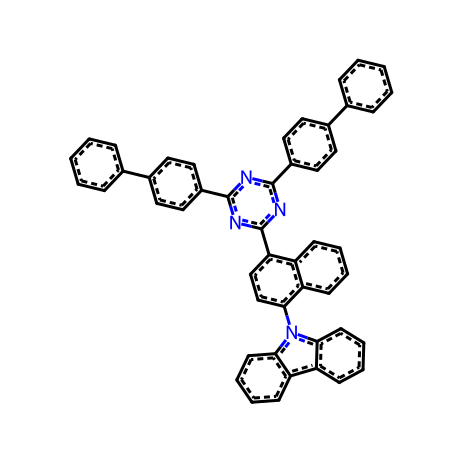 c1ccc(-c2ccc(-c3nc(-c4ccc(-c5ccccc5)cc4)nc(-c4ccc(-n5c6ccccc6c6ccccc65)c5ccccc45)n3)cc2)cc1